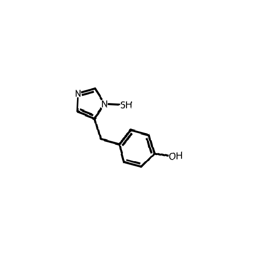 Oc1ccc(Cc2cncn2S)cc1